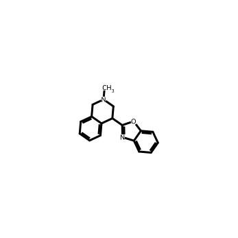 CN1Cc2ccccc2C(c2nc3ccccc3o2)C1